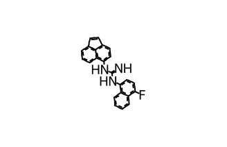 N=C(Nc1ccc(F)c2ccccc12)Nc1ccc2c3c(cccc13)C=C2